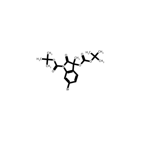 CC(C)(C)OC(=O)OC1(C)C(=O)N(C(=O)OC(C)(C)C)c2cc(Br)ccc21